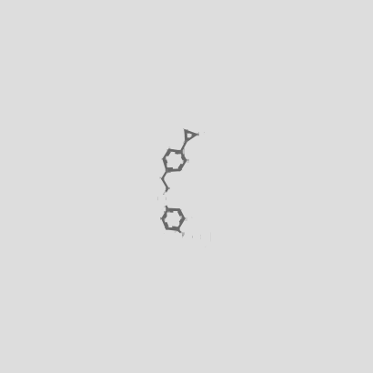 O=C(O)c1ccc(OCCc2ccc(C3CC3)cc2)cc1